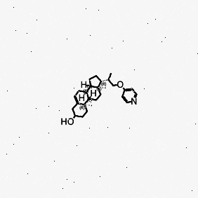 CC(COc1ccncc1)[C@H]1CC[C@H]2[C@@H]3CC=C4CC(O)CC[C@]4(C)[C@H]3CC[C@]12C